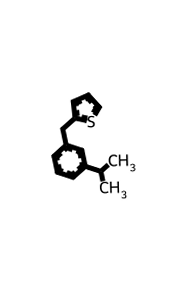 CC(C)c1cccc(Cc2cccs2)c1